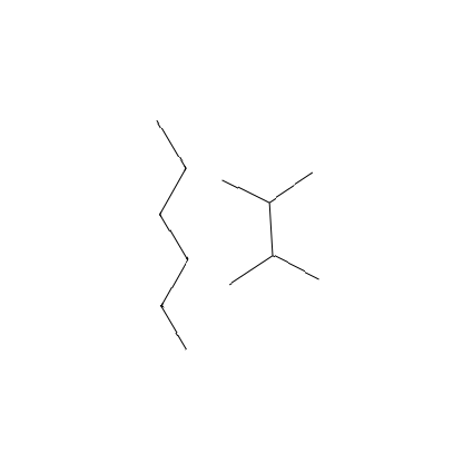 CC(C)C(C)C.CCCCCC